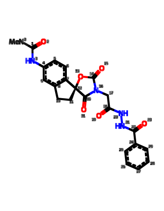 CNC(=O)Nc1ccc2c(c1)CC[C@]21OC(=O)N(CC(=O)NNC(=O)c2ccccc2)C1=O